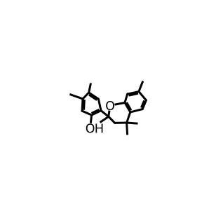 Cc1ccc2c(c1)OC(C)(c1cc(C)c(C)cc1O)CC2(C)C